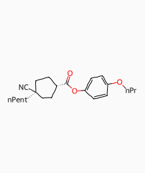 CCCCC[C@]1(C#N)CC[C@H](C(=O)Oc2ccc(OCCC)cc2)CC1